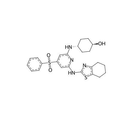 O=S(=O)(c1ccccc1)c1cc(Nc2nc3c(s2)CCCC3)nc(N[C@H]2CC[C@H](O)CC2)c1